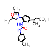 Cc1ccc(NC(=O)Nc2cc(C(C)CC(=O)O)ccc2N2C[C@@H](C)O[C@@H](C)C2)cc1